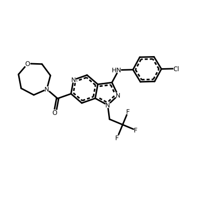 O=C(c1cc2c(cn1)c(Nc1ccc(Cl)cc1)nn2CC(F)(F)F)N1CCCOCC1